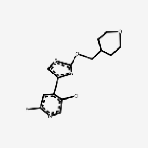 Fc1cc(-c2csc(OCC3CCOCC3)n2)c(Cl)cn1